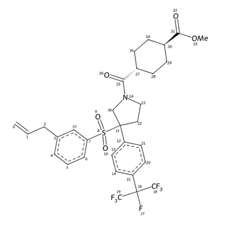 C=CCc1cccc(S(=O)(=O)C2(c3ccc(C(F)(C(F)(F)F)C(F)(F)F)cc3)CCN(C(=O)[C@H]3CC[C@H](C(=O)OC)CC3)C2)c1